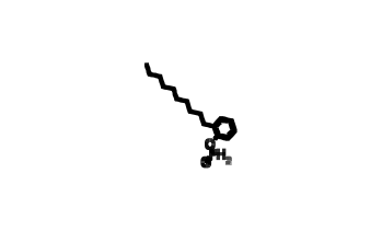 CCCCCCCCCCc1ccccc1O[PH2]=O